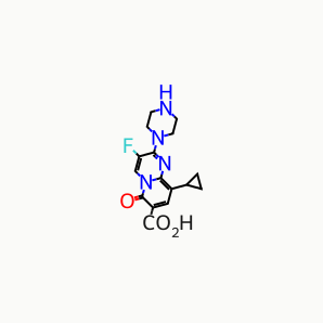 O=C(O)c1cc(C2CC2)c2nc(N3CCNCC3)c(F)cn2c1=O